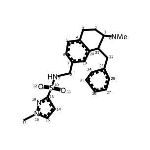 CNC1CCc2ccc(CNS(=O)(=O)c3ccn(C)n3)cc2C1Cc1ccccc1